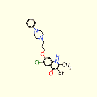 CCc1c(C)[nH]c2cc(OCCCN3CCN(c4ccccc4)CC3)c(Cl)cc2c1=O